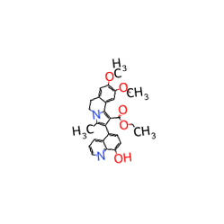 CCOC(=O)c1c(-c2ccc(O)c3ncccc23)c(C)n2c1-c1cc(OC)c(OC)cc1CC2